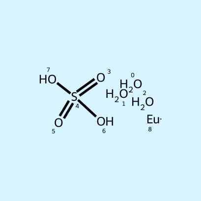 O.O.O.O=S(=O)(O)O.[Eu]